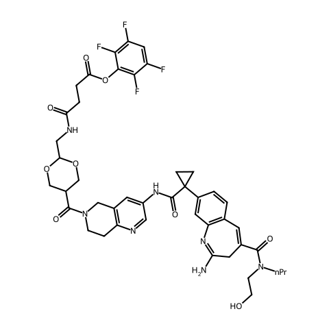 CCCN(CCO)C(=O)C1=Cc2ccc(C3(C(=O)Nc4cnc5c(c4)CN(C(=O)C4COC(CNC(=O)CCC(=O)Oc6c(F)c(F)cc(F)c6F)OC4)CC5)CC3)cc2N=C(N)C1